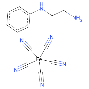 N#[C][Fe]([C]#N)([C]#N)([C]#N)[C]#N.NCCNc1ccccc1